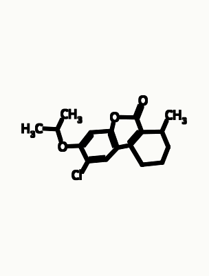 CC(C)Oc1cc2oc(=O)c3c(c2cc1Cl)CCCC3C